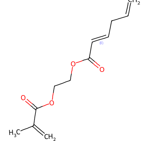 C=CC/C=C/C(=O)OCCOC(=O)C(=C)C